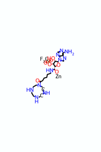 Nc1ncnc2c1ncn2[C@@H]1O[C@H](C(=O)NCCCCCC(=O)N2CCNCCNCCNCC2)[C@@H](OS(=O)(=O)C(F)(F)F)[C@H]1O.[Zn]